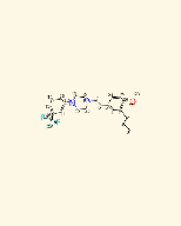 CCCc1cc(CCN2CCN(c3cccc(C(F)(F)F)c3)CC2)ccc1OC